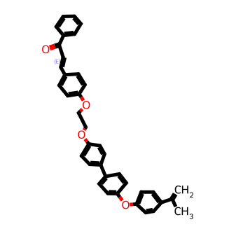 C=C(C)c1ccc(Oc2ccc(-c3ccc(OCCOc4ccc(/C=C/C(=O)c5ccccc5)cc4)cc3)cc2)cc1